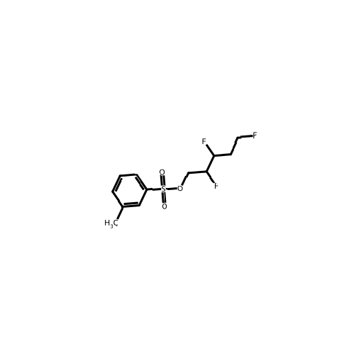 Cc1cccc(S(=O)(=O)OCC(F)C(F)CCF)c1